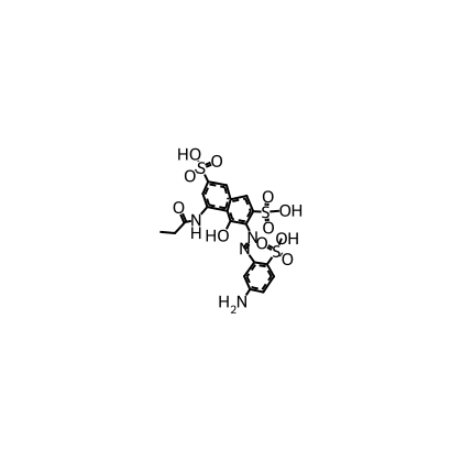 CCC(=O)Nc1cc(S(=O)(=O)O)cc2cc(S(=O)(=O)O)c(N=Nc3cc(N)ccc3S(=O)(=O)O)c(O)c12